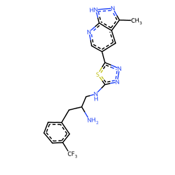 Cc1n[nH]c2ncc(-c3nnc(NCC(N)Cc4cccc(C(F)(F)F)c4)s3)cc12